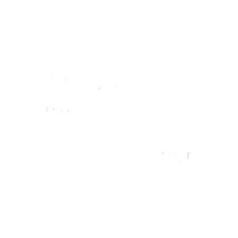 CCCCCCCCC1/C(=C/CCCCCC(=O)O)C(=O)CC1O